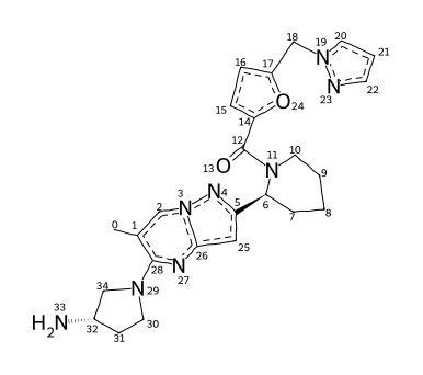 Cc1cn2nc([C@@H]3CCCCN3C(=O)c3ccc(Cn4cccn4)o3)cc2nc1N1CC[C@H](N)C1